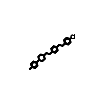 Cc1ccc(C2CCC(CCc3ccc(CCc4ccc(Cl)cc4)cc3)CC2)cc1